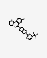 O=C(c1cc(F)ccc1-c1ncccn1)N1CC2CN(c3nccc(C(F)(F)F)n3)CC2C1